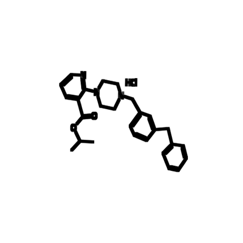 CC(C)OC(=O)c1cccnc1N1CCN(Cc2cccc(Cc3ccccc3)c2)CC1.Cl